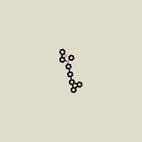 c1ccc(N(c2ccc(-c3ccc(-c4ccc5c6ccccc6c6ccccc6c5c4)cc3)cc2)c2cccc3c2oc2ccccc23)cc1